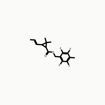 C/C=C/C1C(C(=O)OCc2c(F)c(F)c(C)c(F)c2F)C1(C)C